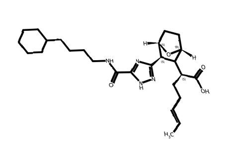 CC=CCC[C@H](C(=O)O)C1[C@@H](c2n[nH]c(C(=O)NCCCCC3CCCCC3)n2)[C@@H]2CC[C@H]1O2